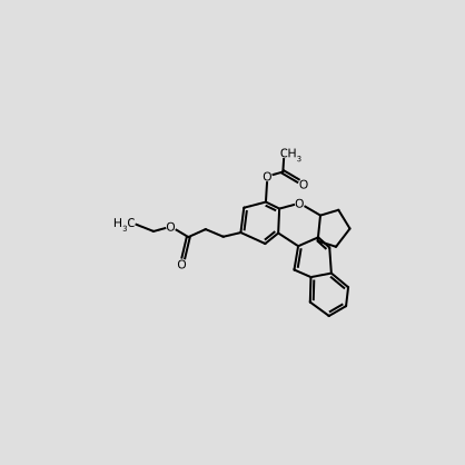 CCOC(=O)CCc1cc(OC(C)=O)c(OC2CCCC2)c(-c2ccc3ccccc3c2)c1